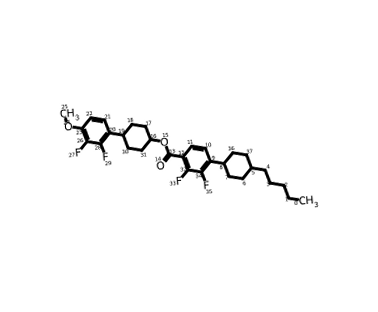 CCCCCC1CCC(c2ccc(C(=O)OC3CCC(c4ccc(OC)c(F)c4F)CC3)c(F)c2F)CC1